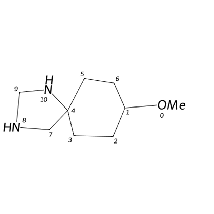 COC1CCC2(CC1)CNCN2